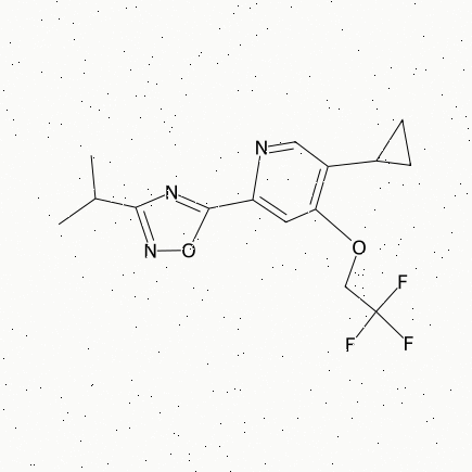 CC(C)c1noc(-c2cc(OCC(F)(F)F)c(C3CC3)cn2)n1